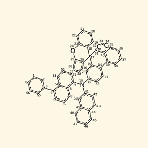 c1ccc(-c2cccc3c(N(c4ccc5c(c4)C4(c6ccccc6Oc6ccccc64)c4cccc6cccc-5c46)c4ccc5ccccc5c4)cccc23)cc1